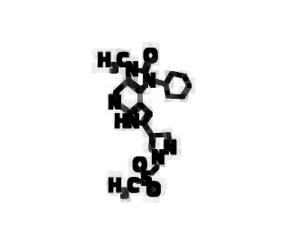 Cn1c(=O)n(C2CCCCC2)c2c3cc(-c4cnn(CS(C)(=O)=O)c4)[nH]c3ncc21